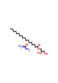 CCCCCCCCCCCCCCCCCC(=O)OCC(O)CO.NC(N)=O